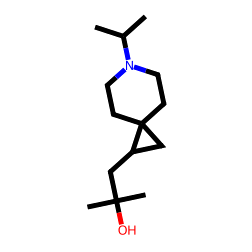 CC(C)N1CCC2(CC1)CC2CC(C)(C)O